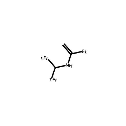 C=C(CC)NC(CCC)CCC